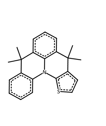 CC1(C)c2ccccc2N2c3sccc3C(C)(C)c3cccc1c32